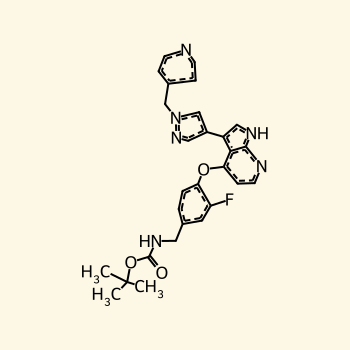 CC(C)(C)OC(=O)NCc1ccc(Oc2ccnc3[nH]cc(-c4cnn(Cc5ccncc5)c4)c23)c(F)c1